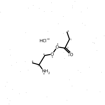 CCC(=O)OOCC(C)N.Cl